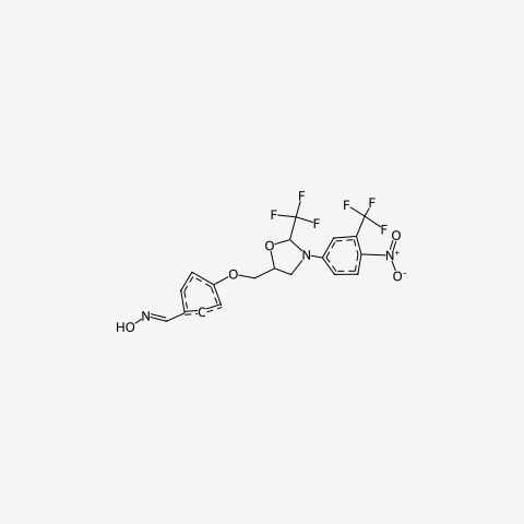 O=[N+]([O-])c1ccc(N2CC(COc3ccc(C=NO)cc3)OC2C(F)(F)F)cc1C(F)(F)F